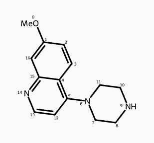 COc1ccc2c(N3CCNCC3)ccnc2c1